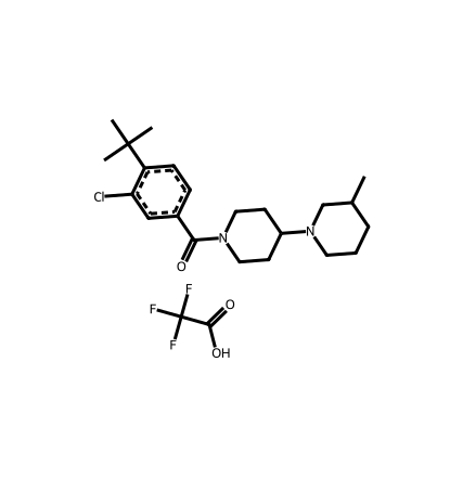 CC1CCCN(C2CCN(C(=O)c3ccc(C(C)(C)C)c(Cl)c3)CC2)C1.O=C(O)C(F)(F)F